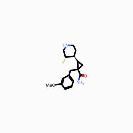 COc1cccc(CC2(C(N)=O)CC2[C@@H]2CCNC[C@H]2F)c1